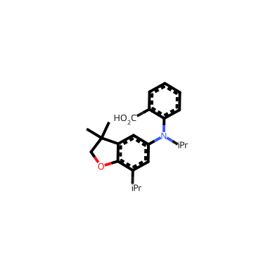 CC(C)c1cc(N(c2ccccc2C(=O)O)C(C)C)cc2c1OCC2(C)C